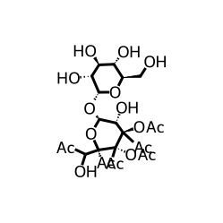 CC(=O)O[C@]1(C(C)=O)[C@@](C(C)=O)(C(O)C(C)=O)O[C@H](O[C@H]2O[C@H](CO)[C@@H](O)[C@H](O)[C@H]2O)[C@H](O)[C@]1(OC(C)=O)C(C)=O